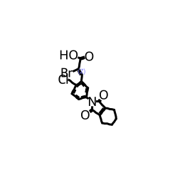 O=C(O)/C(Br)=C/c1cc(N2C(=O)C3=C(CCCC3)C2=O)ccc1Cl